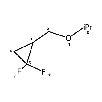 CC(C)OCC1CC1(F)F